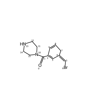 O=C(C1=CC(=CBr)CC=C1)N1CCNCC1